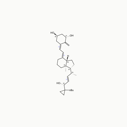 C=C1/C(=C\C=C2/CCC[C@]3(C)[C@@H]([C@H](C)/C=C/[C@@H](O)C4(CCCC)CC4)CC[C@@H]23)C[C@@H](O)C[C@@H]1O